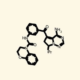 CC(C)C1CC(C(=O)c2cccc(NC(=O)N3CCOc4ccccc43)c2)=C2C(N)=NC=NN21